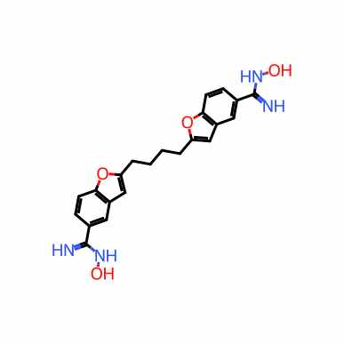 N=C(NO)c1ccc2oc(CCCCc3cc4cc(C(=N)NO)ccc4o3)cc2c1